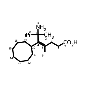 CC(C)C(C)(N)C(=C(I)CCC(=O)O)C1CCCCCCC1